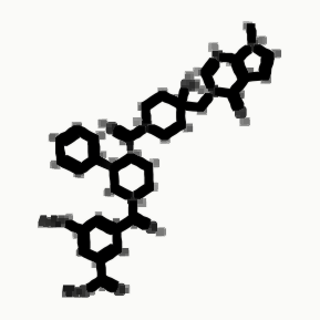 COC(=O)c1cc(NC(C)=O)cc(C(=O)N2CC[C@@H](C(=O)N3CCC(O)(Cn4cnc5c(ccn5C)c4=O)CC3)[C@H](c3ccccc3)C2)c1